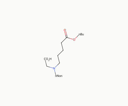 CCCCCCCCCN(CCCCC(=O)OCCCC)CC(=O)O